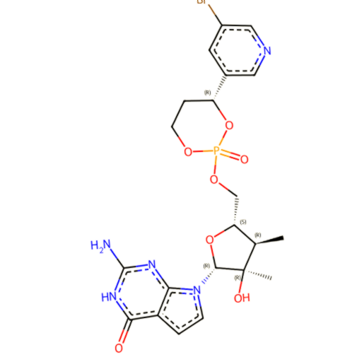 C[C@@H]1[C@@H](COP2(=O)OCC[C@H](c3cncc(Br)c3)O2)O[C@@H](n2ccc3c(=O)[nH]c(N)nc32)[C@]1(C)O